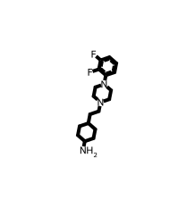 NC1CCC(CCN2CCN(c3cccc(F)c3F)CC2)CC1